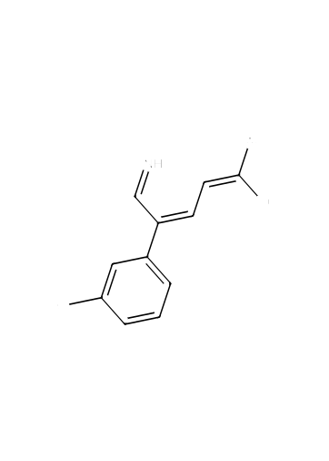 CC/C(=C\C=C(/C=N)c1cccc(Cl)c1)C(C)=O